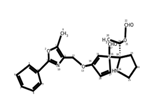 Cc1oc(-c2ccccc2)nc1COC1=CS(C=O)([C@@]2(C(C)OC=O)CCCN2)C=C1